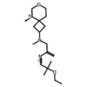 C=C(CN(C)C1CC2(CCOC[C@@H]2C)C1)/N=C\C(C)(C)OCC